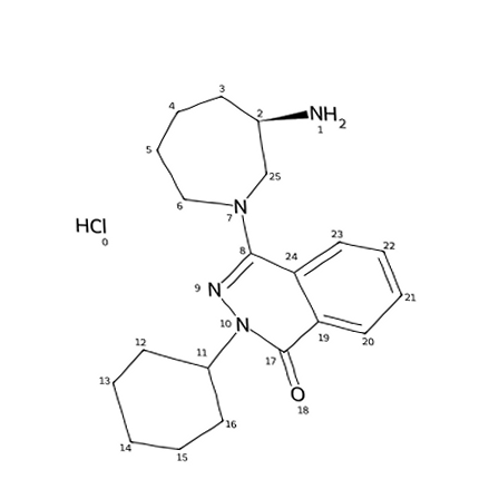 Cl.N[C@@H]1CCCCN(c2nn(C3CCCCC3)c(=O)c3ccccc23)C1